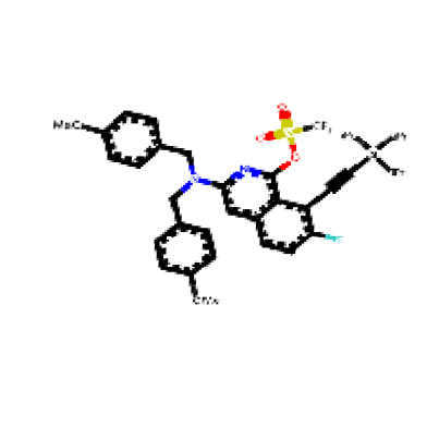 COc1ccc(CN(Cc2ccc(OC)cc2)c2cc3ccc(F)c(C#C[Si](C(C)C)(C(C)C)C(C)C)c3c(OS(=O)(=O)C(F)(F)F)n2)cc1